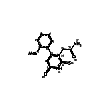 CSc1ccccc1-c1cc(=O)[nH]c(=S)n1CC(N)=O